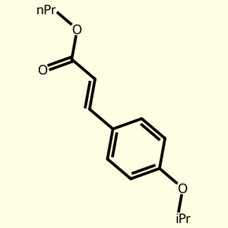 CCCOC(=O)/C=C/c1ccc(OC(C)C)cc1